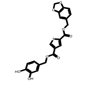 O=C(OCc1ccc(O)c(O)c1)c1csc(C(=O)OCc2ccc3c(c2)OCO3)c1